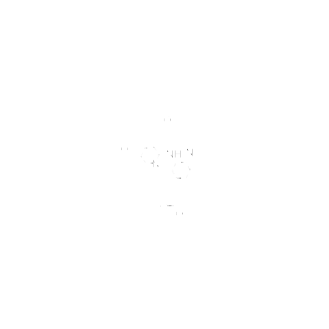 COCc1ccc(Nc2cc(C(C)CC(=O)O)ccc2N(CC(C)C)C2CCC(OC)CC2)nc1